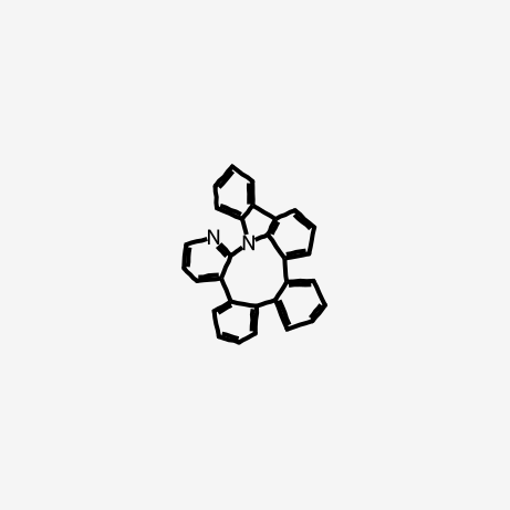 c1ccc2c(c1)c1ccccc1c1cccc3c4ccccc4n(c4ncccc24)c13